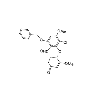 COC1=CC(=O)CC[C@@H]1Oc1c(Cl)c(OC)cc(OCc2ccccc2)c1C=O